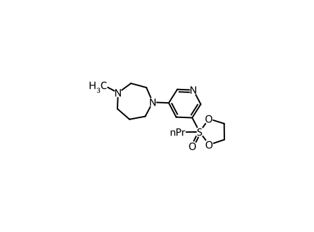 CCCS1(=O)(c2cncc(N3CCCN(C)CC3)c2)OCCO1